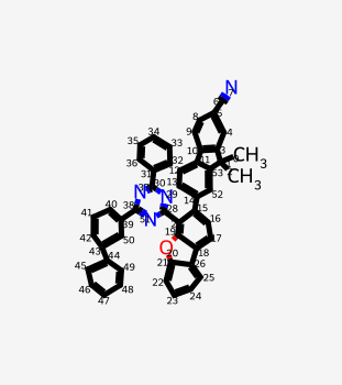 CC1(C)c2cc(C#N)ccc2-c2ccc(-c3ccc4c(oc5ccccc54)c3-c3nc(-c4ccccc4)nc(-c4cccc(-c5ccccc5)c4)n3)cc21